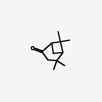 CC1(C)CC(=O)C2CC1C2(C)C